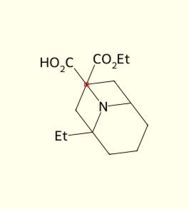 CCOC(=O)CN1C2CCCC1(CC)CC(C(=O)O)C2